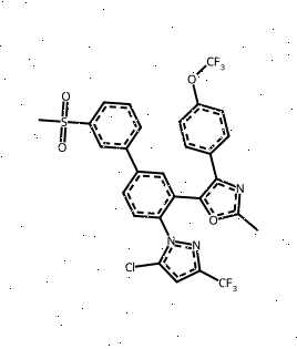 Cc1nc(-c2ccc(OC(F)(F)F)cc2)c(-c2cc(-c3cccc(S(C)(=O)=O)c3)ccc2-n2nc(C(F)(F)F)cc2Cl)o1